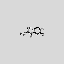 CC(C)Nc1c[c][nH]c(=O)n1